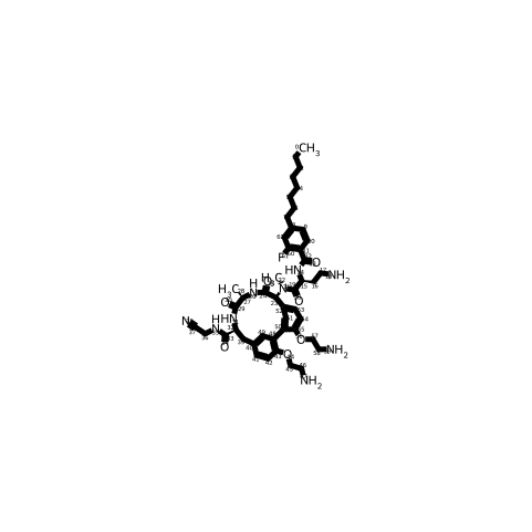 CCCCCCCCc1ccc(C(=O)N[C@@H](CCN)C(=O)N(C)[C@@H]2C(=O)N[C@@H](C)C(=O)N[C@H](C(=O)NCC#N)Cc3ccc(OCCN)c(c3)-c3cc2ccc3OCCN)c(F)c1